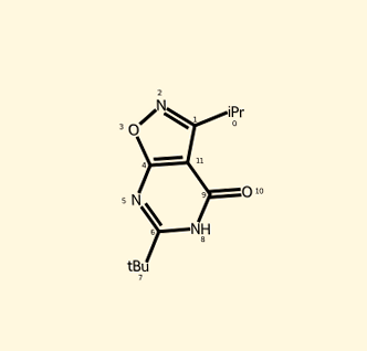 CC(C)c1noc2nc(C(C)(C)C)[nH]c(=O)c12